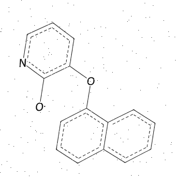 [O]c1ncccc1Oc1cccc2ccccc12